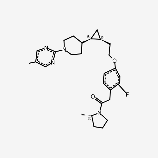 Cc1cnc(N2CCC([C@H]3C[C@H]3CCOc3ccc(CC(=O)N4CCC[C@@H]4C)c(F)c3)CC2)nc1